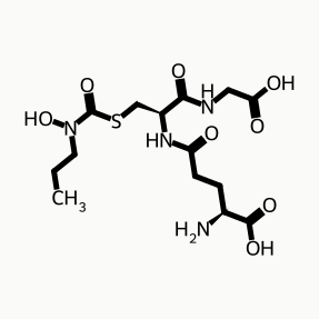 CCCN(O)C(=O)SC[C@H](NC(=O)CC[C@H](N)C(=O)O)C(=O)NCC(=O)O